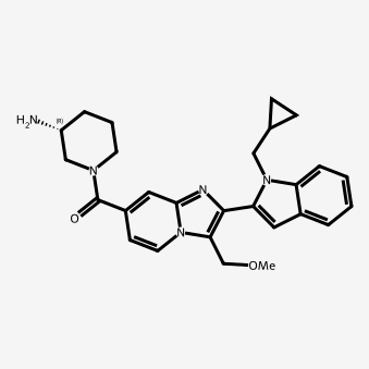 COCc1c(-c2cc3ccccc3n2CC2CC2)nc2cc(C(=O)N3CCC[C@@H](N)C3)ccn12